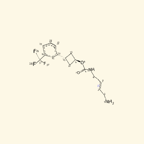 NC/C=C/CNC(=O)O[C@H]1C[C@H](c2cccc(C(F)(F)F)c2)C1